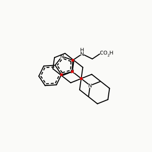 O=C(O)CNc1nc2ccccc2n1C1CC2CCCC(C1)N2C1CC2CCCC(C2)C1